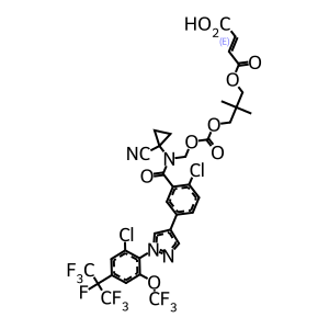 CC(C)(COC(=O)/C=C/C(=O)O)COC(=O)OCN(C(=O)c1cc(-c2cnn(-c3c(Cl)cc(C(F)(C(F)(F)F)C(F)(F)F)cc3OC(F)(F)F)c2)ccc1Cl)C1(C#N)CC1